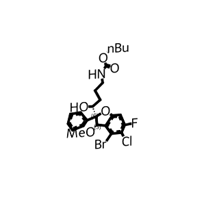 CCCCOC(=O)NCCCC(O)[C@]1(c2ccccc2)Oc2cc(F)c(Cl)c(Br)c2[C@@H]1OC